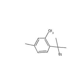 CCC(C)(C)c1ccc(C)cc1C(F)(F)F